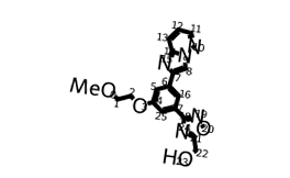 COCCOc1cc(-c2cn3ncccc3n2)cc(-c2noc(CO)n2)c1